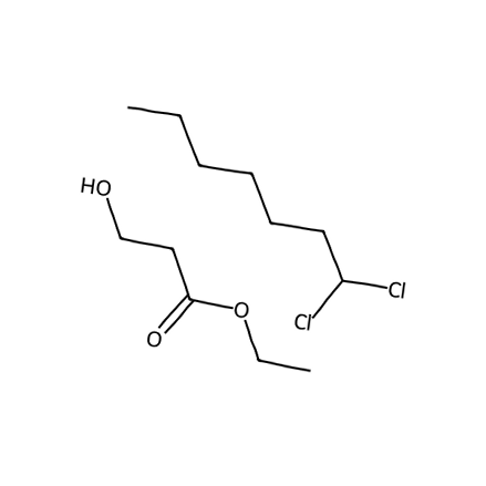 CCCCCCC(Cl)Cl.CCOC(=O)CCO